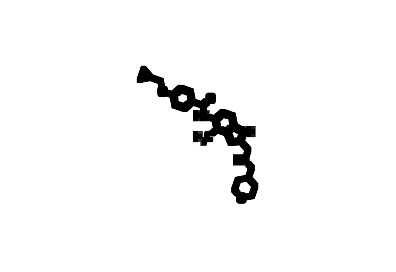 Cc1c(NC(=O)c2ccc(OCC3CC3)cc2)ccc2[nH]c(CNCC3CCOCC3)cc12